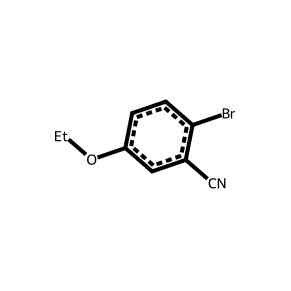 CCOc1ccc(Br)c(C#N)c1